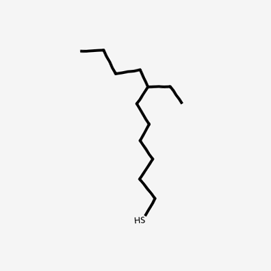 CCCCC(CC)CCCCCCS